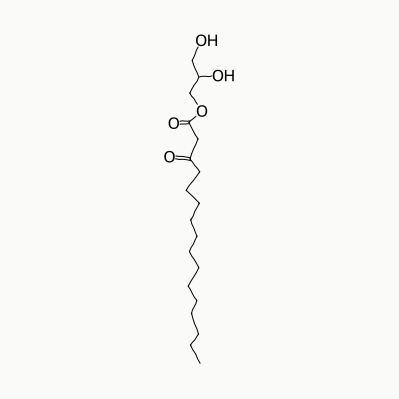 CCCCCCCCCCCCCC(=O)CC(=O)OCC(O)CO